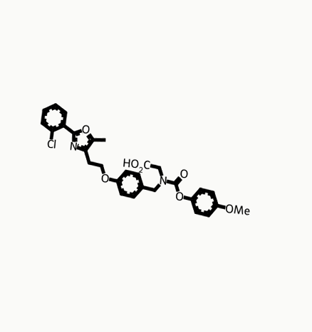 COc1ccc(OC(=O)N(CC(=O)O)Cc2ccc(OCCc3nc(-c4ccccc4Cl)oc3C)cc2)cc1